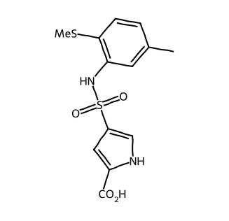 CSc1ccc(C)cc1NS(=O)(=O)c1c[nH]c(C(=O)O)c1